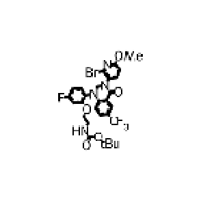 COc1ccc(N2CN(c3ccc(F)cc3OCCNC(=O)OC(C)(C)C)c3ccc(C(F)(F)F)cc3C2=O)c(Br)n1